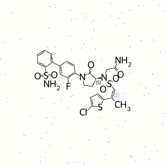 C/C(=C/S(=O)(=O)N(CC(N)=O)[C@H]1CCN(c2ccc(-c3ccccc3S(N)(=O)=O)cc2F)C1=O)c1ccc(Cl)s1